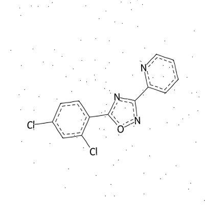 Clc1ccc(-c2nc(-c3ccccn3)no2)c(Cl)c1